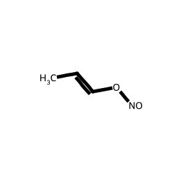 C/C=C/ON=O